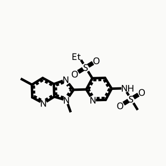 CCS(=O)(=O)c1cc(NS(C)(=O)=O)cnc1-c1nc2cc(C)cnc2n1C